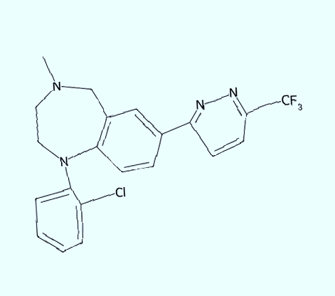 CN1CCN(c2ccccc2Cl)c2ccc(-c3ccc(C(F)(F)F)nn3)cc2C1